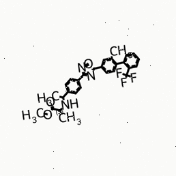 COC(=O)[C@H](C)NC(C)c1ccc(-c2noc(-c3ccc(-c4ccccc4C(F)(F)F)c(C)c3)n2)cc1